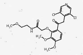 COCCNC(=O)COc1c(C(=O)Cc2c(Cl)cncc2Cl)ccc(OC)c1OC